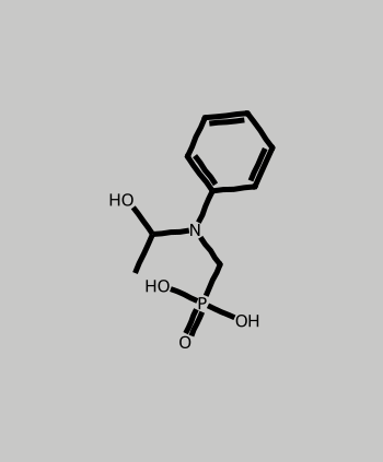 CC(O)N(CP(=O)(O)O)c1ccccc1